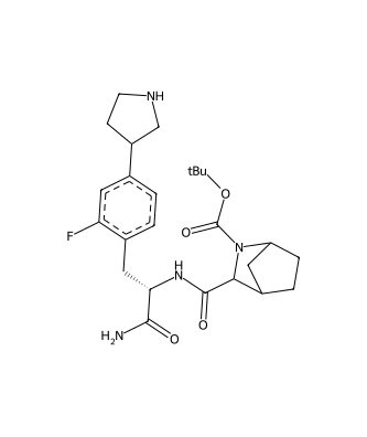 CC(C)(C)OC(=O)N1C2CCC(C2)C1C(=O)N[C@@H](Cc1ccc(C2CCNC2)cc1F)C(N)=O